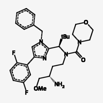 COC[C@@H](N)CCN(C(=O)N1CCOCC1)[C@@H](c1nc(-c2cc(F)ccc2F)cn1Cc1ccccc1)C(C)(C)C